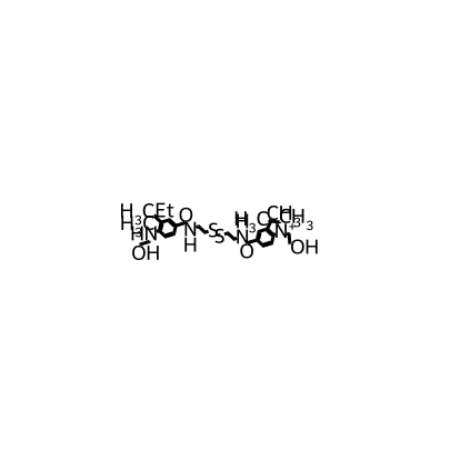 CCC(C)(C)c1cc(C(=O)NCCSSCCNC(=O)c2ccc3c(c2)C(C)(C)C(C)=[N+]3CCO)ccc1NCCO